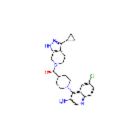 Nc1cnc2ccc(Cl)cc2c1N1CCC(C(=O)N2CCc3c(C4CC4)n[nH]c3C2)CC1